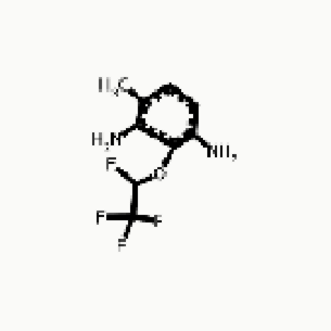 Cc1ccc(N)c(OC(F)C(F)(F)F)c1N